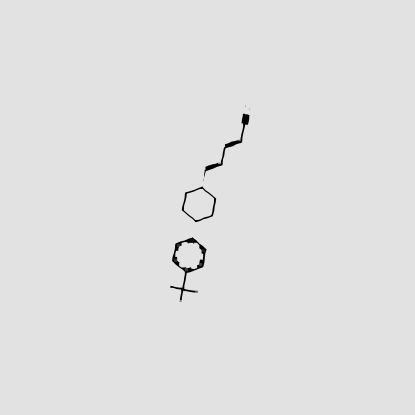 N#CC=CC=C[C@H]1CC[C@H](c2ccc(C(F)(F)F)cc2)CC1